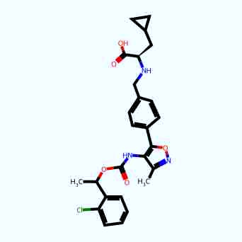 Cc1noc(-c2ccc(CN[C@H](CC3CC3)C(=O)O)cc2)c1NC(=O)OC(C)c1ccccc1Cl